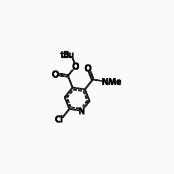 CNC(=O)c1cnc(Cl)cc1C(=O)OC(C)(C)C